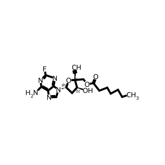 C#C[C@]1(COC(=O)CCCCCC)O[C@@H](n2cnc3c(N)nc(F)nc32)C[C@@H]1O